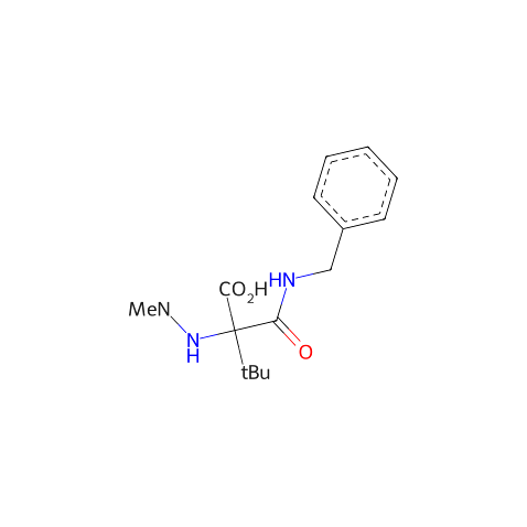 CNNC(C(=O)O)(C(=O)NCc1ccccc1)C(C)(C)C